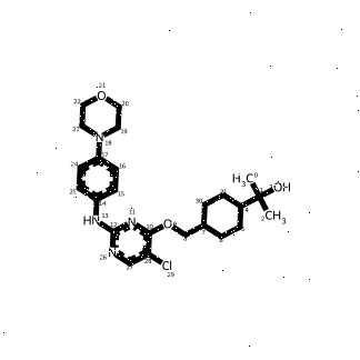 CC(C)(O)C1CCC(COc2nc(Nc3ccc(N4CCOCC4)cc3)ncc2Cl)CC1